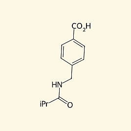 CC(C)C(=O)NCc1ccc(C(=O)O)cc1